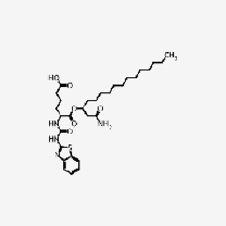 CCCCCCCCCCCCC[C@@H](CC(N)=O)OC(=O)[C@H](CCCC(=O)O)NC(=O)Nc1nc2ccccc2s1